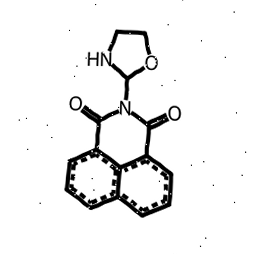 O=C1c2cccc3cccc(c23)C(=O)N1C1NCCO1